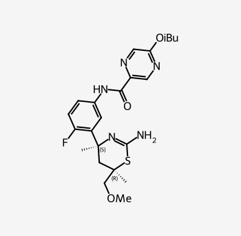 COC[C@@]1(C)C[C@@](C)(c2cc(NC(=O)c3cnc(OCC(C)C)cn3)ccc2F)N=C(N)S1